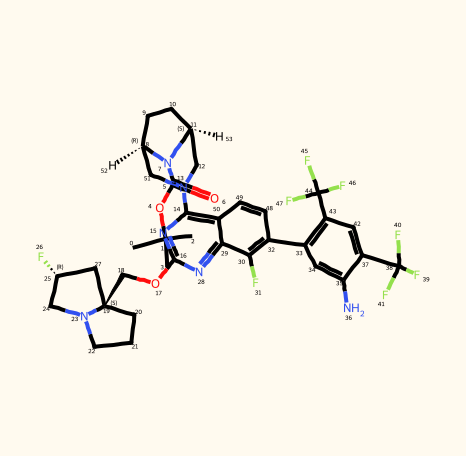 CC(C)(C)OC(=O)N1[C@@H]2CC[C@H]1CN(c1nc(OC[C@@]34CCCN3C[C@H](F)C4)nc3c(F)c(-c4cc(N)c(C(F)(F)F)cc4C(F)(F)F)ccc13)C2